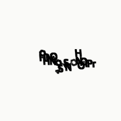 CC(C)OC(=O)N[C@H]1CC[C@H](c2ncc(-c3ccc(NC(=O)NCc4ccccc4)cc3SC3CC3)s2)CC1